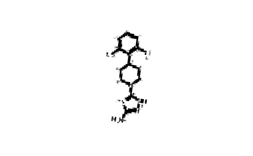 Nc1n[nH]c(N2CCC(c3c(Cl)c[c]cc3Cl)CC2)n1